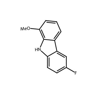 COc1cccc2c1[nH]c1ccc(F)cc12